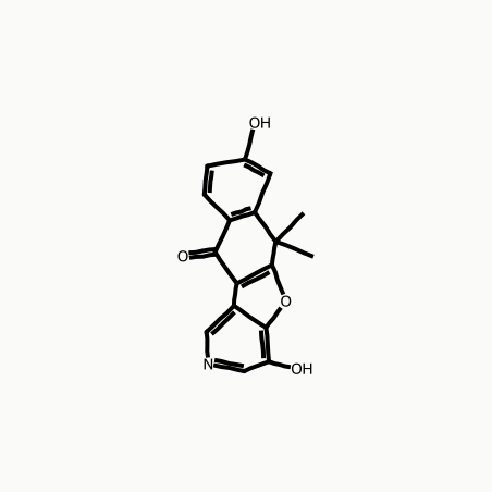 CC1(C)c2cc(O)ccc2C(=O)c2c1oc1c(O)cncc21